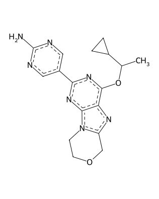 CC(Oc1nc(-c2cnc(N)nc2)nc2c1nc1n2CCOC1)C1CC1